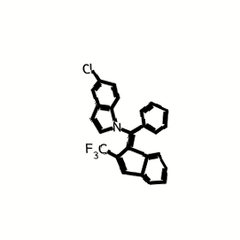 FC(F)(F)C1=Cc2ccccc2C1=C(c1ccccc1)n1ccc2cc(Cl)ccc21